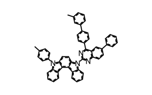 Cc1ccc(-n2c3ccccc3c3c4c5ccccc5n(-c5nc(-c6ccc(-c7cccc(C)c7)cc6)c6cc(-c7ccccc7)ccc6n5)c4ccc32)cc1